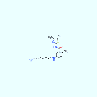 Cc1ccc(NCCCCCCCN)cc1C(=O)NC1=NC(C)C(C)S1